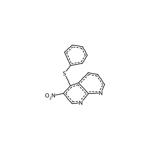 O=[N+]([O-])c1cnc2ncccc2c1Sc1ccccc1